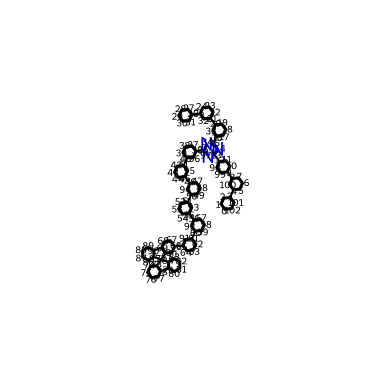 c1ccc(-c2cccc(-c3ccc(-c4nc(-c5cccc(-c6cccc(-c7ccccc7)c6)c5)nc(-c5cccc(-c6cccc(-c7cccc(-c8cccc(-c9cccc(-c%10cccc(-c%11ccc%12c(c%11)C%11(c%13ccccc%13-c%13ccccc%13%11)c%11ccccc%11-%12)c%10)c9)c8)c7)c6)c5)n4)cc3)c2)cc1